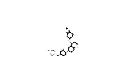 CC(C)(C)N1CCN(Cc2ccc(-c3ccc4nccc(Nc5ccc6scnc6c5)c4c3)c(F)c2)CC1